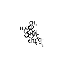 CCC(Sc1nnc(-c2ccc(C)o2)n1-c1c(OC)ccnc1OC)C(=O)O